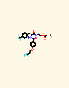 CC(=O)OCCNC(=O)[C@H](Cc1ccc(C(F)(F)F)cc1)NC(=O)c1ccc(OCCC(F)(F)F)cc1